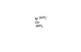 [Cu].[Ni].[SbH3].[SnH2]